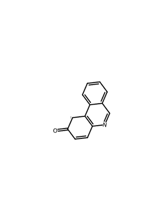 O=C1[C]c2c(ncc3ccccc23)C=C1